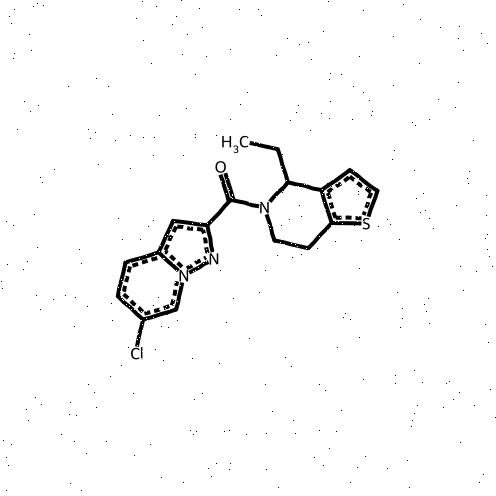 CCC1c2ccsc2CCN1C(=O)c1cc2ccc(Cl)cn2n1